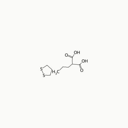 C1CSSC1.CCCC(C(=O)O)C(=O)O